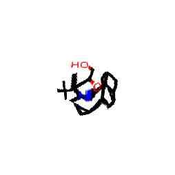 CC(C)C(C)(C(CO)OC1C2CC3C1CC(=C1CC1)C3(C#N)C2)C(C)(C)C